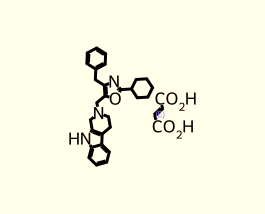 O=C(O)/C=C/C(=O)O.c1ccc(Cc2nc(C3CCCCC3)oc2CN2CCc3c([nH]c4ccccc34)C2)cc1